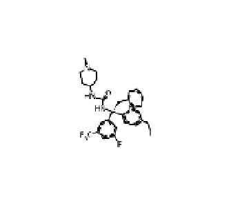 CN1CCC(NC(=O)N[C@@](Cc2ccccc2)(c2cc(F)cc(C(F)(F)F)c2)c2ccc(CI)cn2)CC1